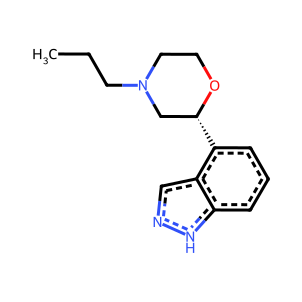 CCCN1CCO[C@H](c2cccc3[nH]ncc23)C1